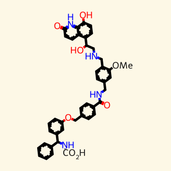 COc1cc(CNC(=O)c2ccc(COc3cccc(C(NC(=O)O)c4ccccc4)c3)cc2)ccc1CNCC(O)c1ccc(O)c2[nH]c(=O)ccc12